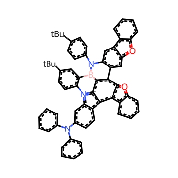 CC(C)(C)c1ccc(N2B3c4cc(C(C)(C)C)ccc4-n4c5cc(N(c6ccccc6)c6ccccc6)ccc5c5c6c(oc7ccccc76)c(c3c54)-c3cc4oc5ccccc5c4cc32)cc1